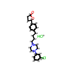 Cl.O=C1CCC(c2ccc(CCCCN3CCN(c4cccc(Cl)c4)CC3)cc2)O1